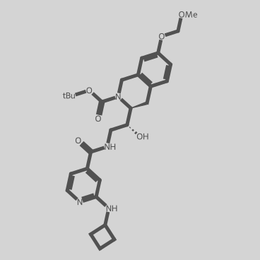 COCOc1ccc2c(c1)CN(C(=O)OC(C)(C)C)[C@H]([C@H](O)CNC(=O)c1ccnc(NC3CCC3)c1)C2